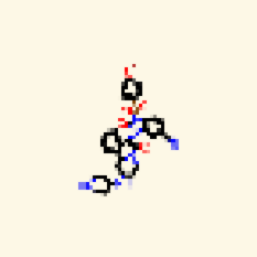 COc1ccc(S(=O)(=O)n2c(=O)n(C(C(=O)N3CCC(NC4CCNCC4)CC3)c3ccccc3)c3cc(C#N)ccc32)cc1